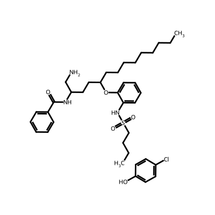 CCCCCCCCCC(CCC(CN)NC(=O)c1ccccc1)Oc1ccccc1NS(=O)(=O)CCCC.Oc1ccc(Cl)cc1